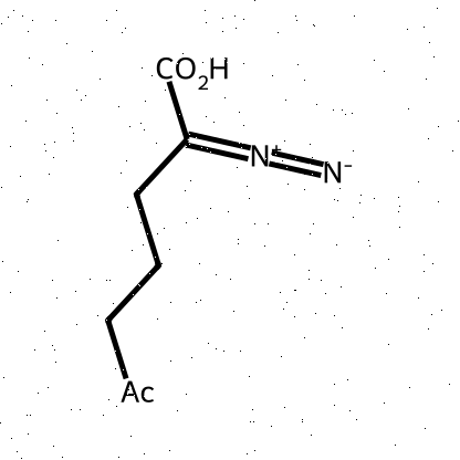 CC(=O)CCCC(=[N+]=[N-])C(=O)O